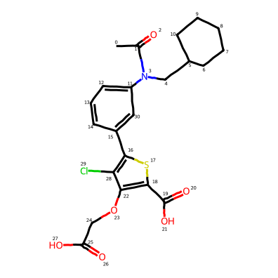 CC(=O)N(CC1CCCCC1)c1cccc(-c2sc(C(=O)O)c(OCC(=O)O)c2Cl)c1